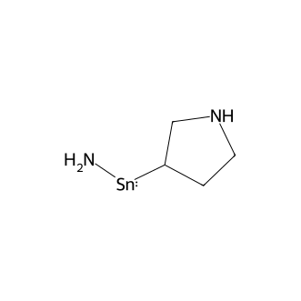 [NH2][Sn][CH]1CCNC1